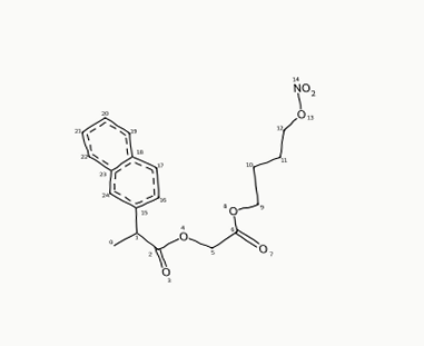 CC(C(=O)OCC(=O)OCCCCO[N+](=O)[O-])c1ccc2ccccc2c1